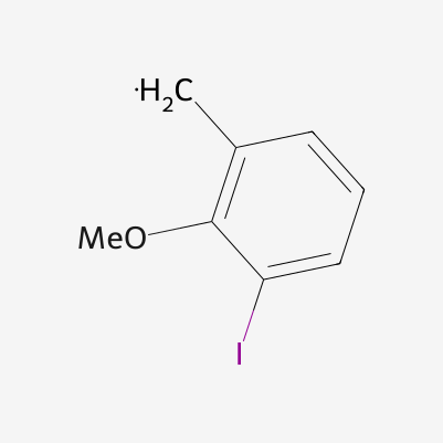 [CH2]c1cccc(I)c1OC